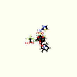 O=C(O)C(F)(F)F.O=S(=O)(Nc1nccs1)c1cc(Cl)c(OC2C[C@H]3CC[C@@H](C2)N3Cc2cccc(Cl)c2)cc1F